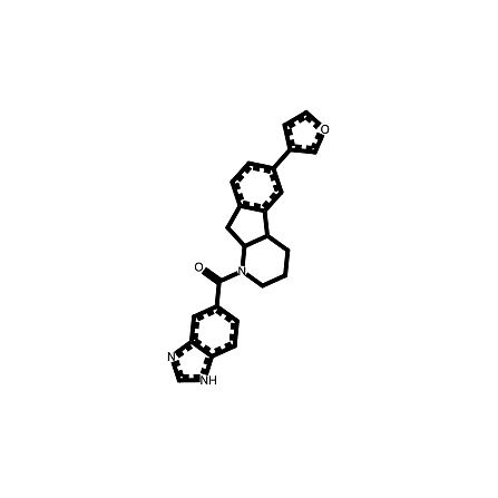 O=C(c1ccc2[nH]cnc2c1)N1CCCC2c3cc(-c4ccoc4)ccc3CC21